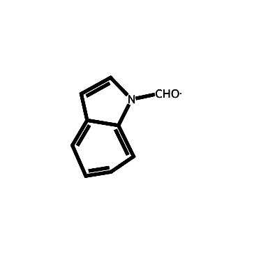 O=[C]n1ccc2ccccc21